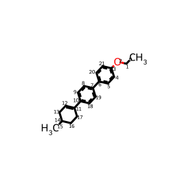 CCOc1ccc(-c2ccc(C3=CCC(C)CC3)cc2)cc1